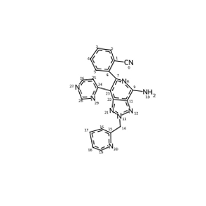 N#Cc1ccccc1-c1nc(N)c2nn(Cc3ccccn3)nc2c1-c1ccncn1